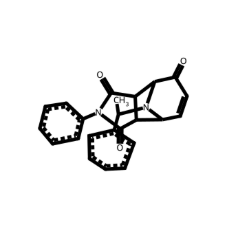 CC(c1ccccc1)N1C2C=CC(=O)C1C1C(=O)N(c3ccccc3)C(=O)C12